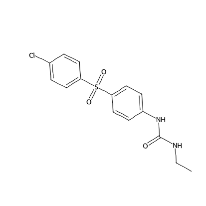 CCNC(=O)Nc1ccc(S(=O)(=O)c2ccc(Cl)cc2)cc1